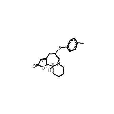 Cc1ccc(SC2CC3=CC(=O)O[C@]3(C)[C@H]3CCCCN3C2)cc1